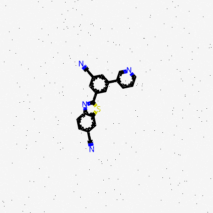 N#Cc1cc(-c2cccnc2)cc(-c2nc3ccc(C#N)cc3s2)c1